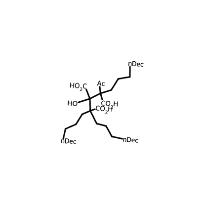 CCCCCCCCCCCCCC(CCCCCCCCCCCCC)(C(=O)O)C(O)(C(=O)O)C(CCCCCCCCCCCCC)(C(C)=O)C(=O)O